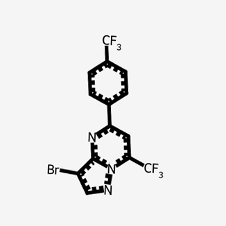 FC(F)(F)c1ccc(-c2cc(C(F)(F)F)n3ncc(Br)c3n2)cc1